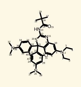 CCN(CC)c1ccc2c(c1)N=C(NC(=O)C(C)(C)C)SC2(c1ccc(N(C)C)cc1Cl)c1ccc(N(C)C)cc1Cl